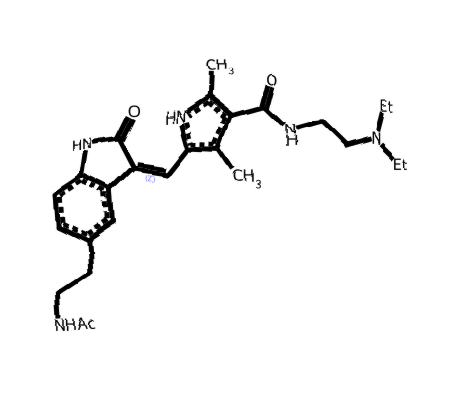 CCN(CC)CCNC(=O)c1c(C)[nH]c(/C=C2\C(=O)Nc3ccc(CCNC(C)=O)cc32)c1C